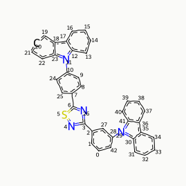 c1cc(-c2nsc(-c3ccc(-n4c5ccccc5c5ccccc54)cc3)n2)cc(-n2c3ccccc3c3ccccc32)c1